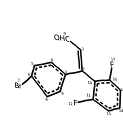 O=C/C=C(\c1ccc(Br)cc1)c1c(F)cccc1F